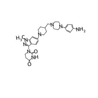 Cn1nc(N2CCC(=O)NC2=O)c2ccc(N3CCC(CN4CCN(c5ccc(N)cc5)CC4)CC3)cc21